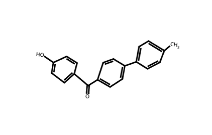 Cc1ccc(-c2ccc(C(=O)c3ccc(O)cc3)cc2)cc1